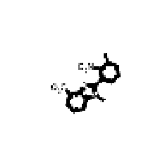 Cc1cccc(-c2nc3c(C(=O)O)cccc3n2C)c1[N+](=O)[O-]